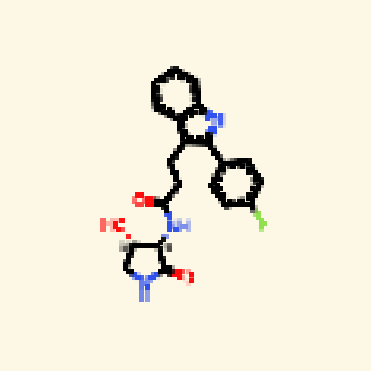 O=C(CCc1c(-c2ccc(F)cc2)[nH]c2ccccc12)N[C@@H]1C(=O)NC[C@@H]1O